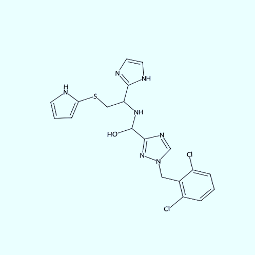 OC(NC(CSc1ccc[nH]1)c1ncc[nH]1)c1ncn(Cc2c(Cl)cccc2Cl)n1